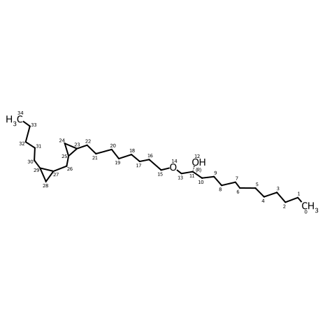 CCCCCCCCCCC[C@@H](O)COCCCCCCCCC1CC1CC1CC1CCCCC